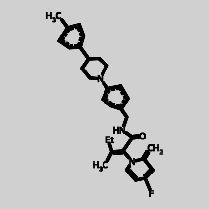 C=C1C=C(F)C=CN1/C(C(=O)NCc1ccc(N2CCC(c3ccc(C)cc3)CC2)cc1)=C(\C)CC